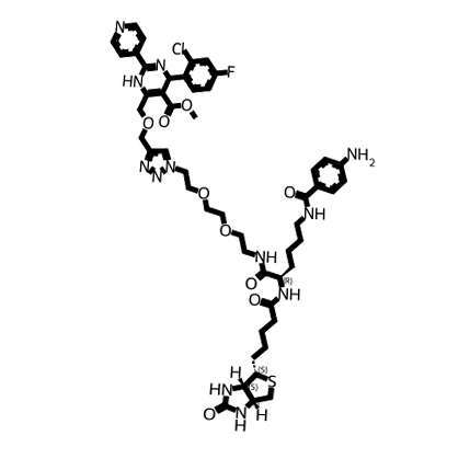 COC(=O)C1=C(COCc2cn(CCOCCOCCNC(=O)[C@@H](CCCCNC(=O)c3ccc(N)cc3)NC(=O)CCCC[C@@H]3SC[C@@H]4NC(=O)N[C@@H]43)nn2)NC(c2ccncc2)=NC1c1ccc(F)cc1Cl